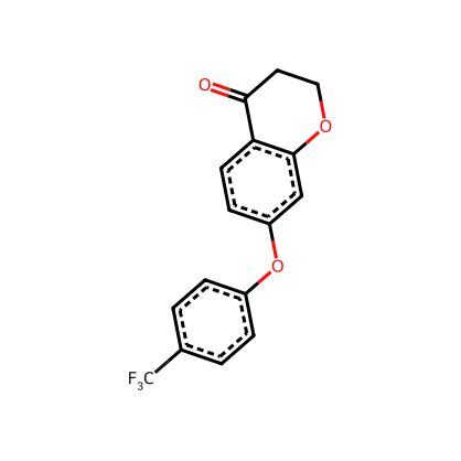 O=C1CCOc2cc(Oc3ccc(C(F)(F)F)cc3)ccc21